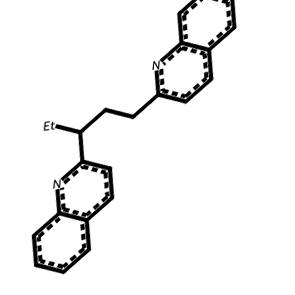 CC[C](CCc1ccc2ccccc2n1)c1ccc2ccccc2n1